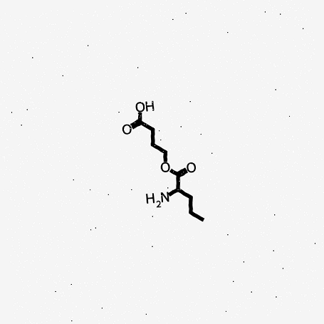 CCCC(N)C(=O)OCCCC(=O)O